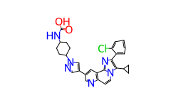 O=C(O)NC1CCC(n2cc(-c3cnc4ccn5c(C6CC6)c(-c6ccccc6Cl)nc5c4c3)cn2)CC1